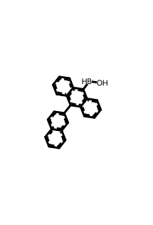 OBc1c2ccccc2c(-c2ccc3ccccc3c2)c2ccccc12